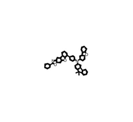 CC1(C)c2ccccc2-c2cc(N(c3ccc(-c4cccc5c4oc4cc6oc(-c7ccccc7)nc6cc45)cc3)c3ccc4oc5ccccc5c4c3)ccc21